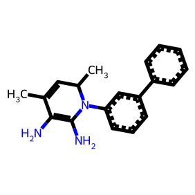 CC1=CC(C)N(c2cccc(-c3ccccc3)c2)C(N)=C1N